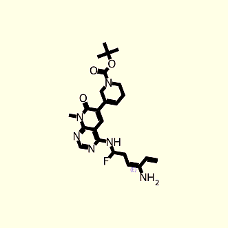 C=C/C(N)=C\CC(F)Nc1ncnc2c1cc(C1=CCCN(C(=O)OC(C)(C)C)C1)c(=O)n2C